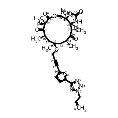 C=CCn1nnc(-c2ccc(C#CCO[C@@]3(C)[C][C@@H](C)C(=O)[C@](C)(F)C(=O)O[C@H](CC)[C@@]4(C)OC(=O)N[C@@H]4[C@@H](C)C(=O)[C@H](C)C3)s2)n1